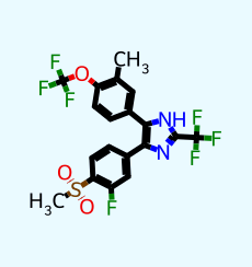 Cc1cc(-c2[nH]c(C(F)(F)F)nc2-c2ccc(S(C)(=O)=O)c(F)c2)ccc1OC(F)(F)F